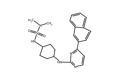 CN(C)S(=O)(=O)NC1CCC(Nc2nccc(-c3ccc4ccccc4c3)n2)CC1